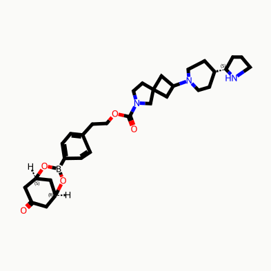 O=C1C[C@@H]2C[C@H](C1)OB(c1ccc(CCOC(=O)N3CCC4(CC(N5CCC([C@@H]6CCCN6)CC5)C4)C3)cc1)O2